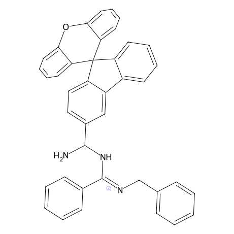 NC(N/C(=N\Cc1ccccc1)c1ccccc1)c1ccc2c(c1)-c1ccccc1C21c2ccccc2Oc2ccccc21